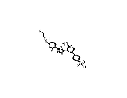 CCC(C)S(=O)(=O)c1ccc(-c2cnc(N)c(-c3nnc(-c4ccc(CNCCF)cc4F)o3)n2)cc1